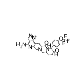 C[C@@H]1CC[C@@H]2Oc3cc(OC(F)(F)F)ccc3[C@@H]2N1C(=O)c1cc2c(cn1)nc(N)c1cnn(C)c12